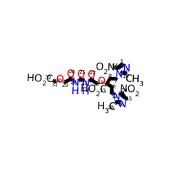 Cc1ncc([N+](=O)[O-])n1CCC(CCn1c([N+](=O)[O-])cnc1C)(OCC(=O)NC(=O)NC(=O)COCC(=O)O)C(=O)O